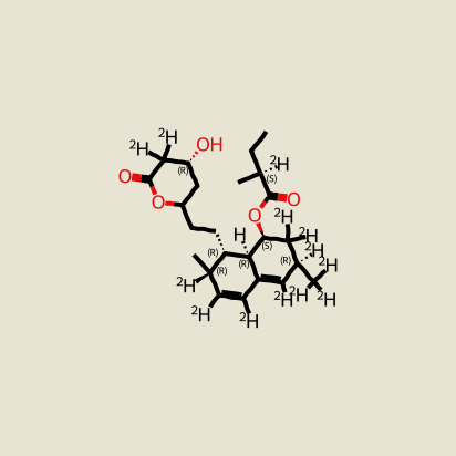 [2H]C1=C([2H])[C@]([2H])(C)[C@H](CCC2C[C@@H](O)C([2H])([2H])C(=O)O2)[C@@H]2C1=C([2H])[C@]([2H])(C([2H])([2H])[2H])C([2H])([2H])[C@@H]2OC(=O)[C@@]([2H])(C)CC